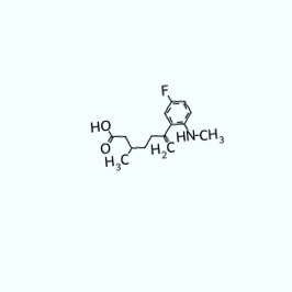 C=C(CCC(C)CC(=O)O)c1cc(F)ccc1NC